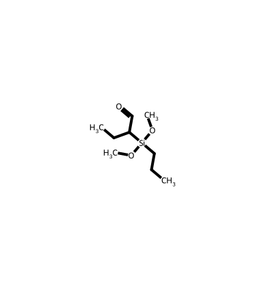 CCC[Si](OC)(OC)C(C=O)CC